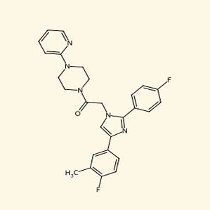 Cc1cc(-c2cn(CC(=O)N3CCN(c4ccccn4)CC3)c(-c3ccc(F)cc3)n2)ccc1F